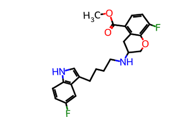 COC(=O)c1ccc(F)c2c1CC(NCCCCc1c[nH]c3ccc(F)cc13)CO2